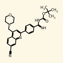 CC(C)(C)OC(=O)NC(=N)c1ccc(-c2cc(CN3CCOCC3)c3ccc(C#N)cc3n2)cc1